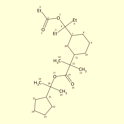 CCC(=O)OC(CC)(CC)C1CCCC(C(C)(C)C(=O)OC(C)(C)C2CCCC2)C1